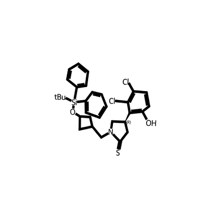 CC(C)(C)[Si](OC1CC(CN2C[C@@H](c3c(O)ccc(Cl)c3Cl)CC2=S)C1)(c1ccccc1)c1ccccc1